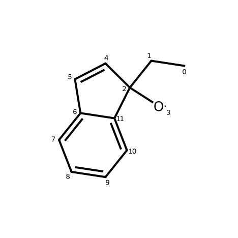 CCC1([O])C=Cc2ccccc21